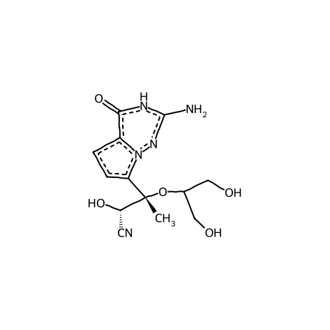 C[C@](OC(CO)CO)(c1ccc2c(=O)[nH]c(N)nn12)[C@@H](O)C#N